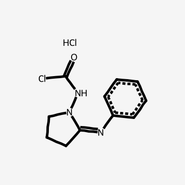 Cl.O=C(Cl)NN1CCCC1=Nc1ccccc1